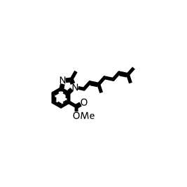 COC(=O)c1cccc2nc(C)n(C/C=C(\C)CCC=C(C)C)c12